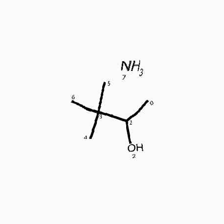 CC(O)C(C)(C)C.N